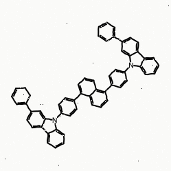 C1=CCCC(c2ccc3c4ccccc4n(-c4ccc(-c5cccc6c(-c7ccc(-n8c9ccccc9c9ccc(-c%10ccccc%10)cc98)cc7)cccc56)cc4)c3c2)=C1